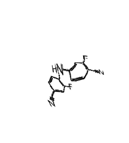 N#Cc1ccc(Nc2ccc(C#N)c(F)c2)c(F)c1